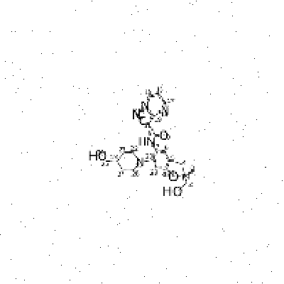 C[C@]1(CO)Cc2cc(NC(=O)c3cnn4cccnc34)c(N3CCC(CO)CC3)cc2O1